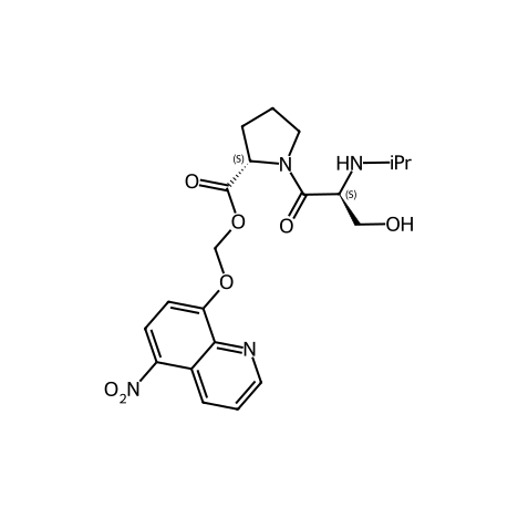 CC(C)N[C@@H](CO)C(=O)N1CCC[C@H]1C(=O)OCOc1ccc([N+](=O)[O-])c2cccnc12